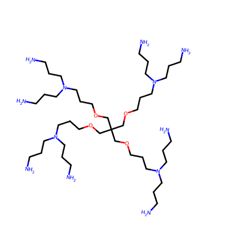 NCCCN(CCCN)CCCOCC(COCCCN(CCCN)CCCN)(COCCCN(CCCN)CCCN)COCCCN(CCCN)CCCN